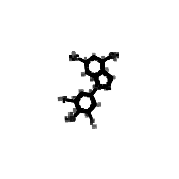 N#Cc1cc(O)c2cnn(-c3cc(F)c(O)c(F)c3)c2c1